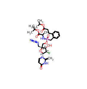 C=C1NC(=O)C=CN1[C@@H]1O[C@](CN=[N+]=[N-])(COP(=O)(Cc2ccccc2CCC(=O)OC(C)C)NC(C)C(=O)OC(C)C)[C@@H](O)[C@H]1F